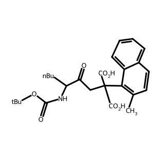 CCCCC(NC(=O)OC(C)(C)C)C(=O)CC(C(=O)O)(C(=O)O)c1c(C)ccc2ccccc12